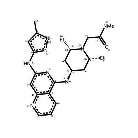 CC[C@@H]1C[C@@H](Nc2nc(Nc3cc(C)[nH]n3)cc3ncccc23)C[C@H](CC)N1CC(=O)NC